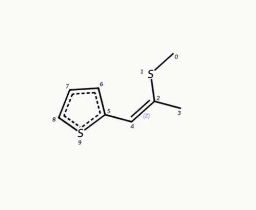 CS/C(C)=C\c1cccs1